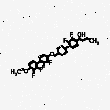 CCCC(O)c1ccc(C2CCC(COc3ccc(-c4ccc(OCC)c(F)c4F)c(F)c3F)CC2)c(F)c1F